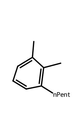 CCCCCc1cccc(C)c1C